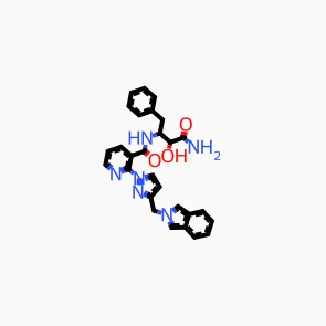 NC(=O)C(O)C(Cc1ccccc1)NC(=O)c1cccnc1-n1ccc(Cn2cc3ccccc3c2)n1